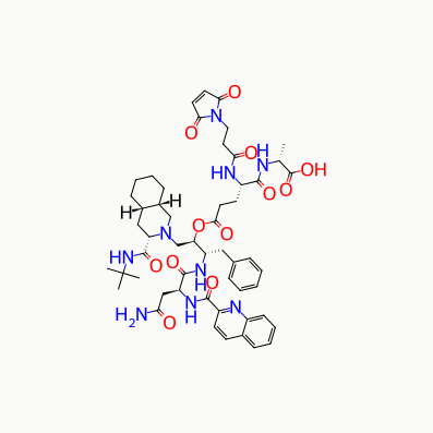 C[C@@H](NC(=O)[C@H](CCC(=O)O[C@H](CN1C[C@H]2CCCC[C@H]2C[C@H]1C(=O)NC(C)(C)C)[C@H](Cc1ccccc1)NC(=O)[C@H](CC(N)=O)NC(=O)c1ccc2ccccc2n1)NC(=O)CCN1C(=O)C=CC1=O)C(=O)O